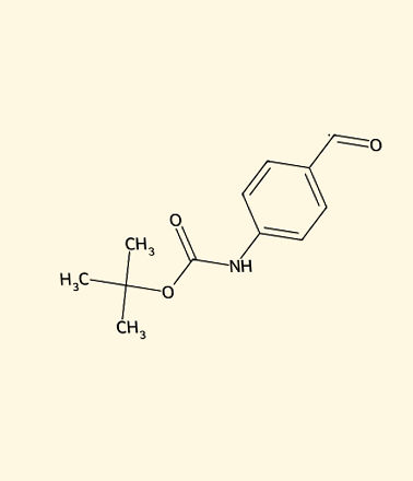 CC(C)(C)OC(=O)Nc1ccc([C]=O)cc1